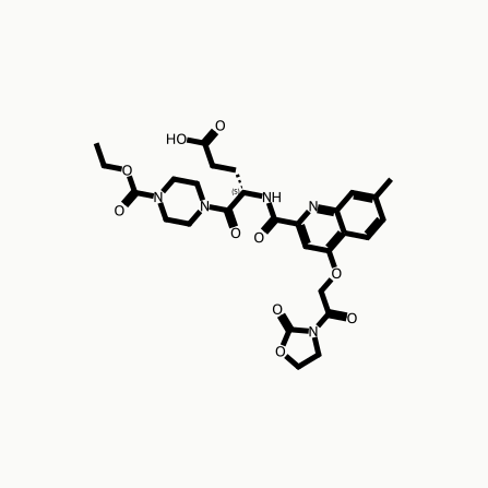 CCOC(=O)N1CCN(C(=O)[C@H](CCC(=O)O)NC(=O)c2cc(OCC(=O)N3CCOC3=O)c3ccc(C)cc3n2)CC1